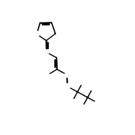 C/C(BOC(C)(C)C(C)(C)O)=C\N=C1/CC=CN1